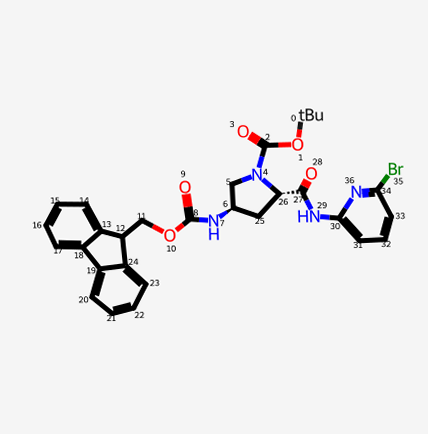 CC(C)(C)OC(=O)N1C[C@H](NC(=O)OCC2c3ccccc3-c3ccccc32)C[C@H]1C(=O)Nc1cccc(Br)n1